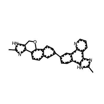 Cc1nc2c([nH]1)COc1c-2ccc2cc(-c3ccc4c(c3)c3ncccc3c3nc(C)[nH]c43)ccc12